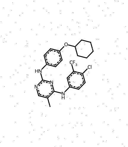 Cc1cnc(Nc2ccc(OC3CCCCC3)cc2)nc1Nc1ccc(Cl)c(C(F)(F)F)c1